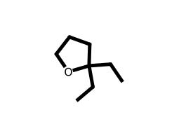 CCC1(CC)CCCO1